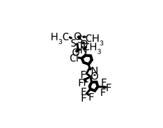 CCSC(C(=O)N(C)c1ccc(C2=NOC(c3cc(C(F)(F)F)cc(C(F)(F)F)c3)(C(F)(F)F)C2)cc1Cl)S(=O)(=O)CC